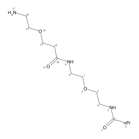 CCCC(=O)NCCOCCNC(=O)CCOCCN